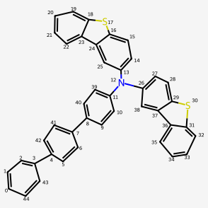 c1ccc(-c2ccc(-c3ccc(N(c4ccc5sc6ccccc6c5c4)c4ccc5sc6ccccc6c5c4)cc3)cc2)cc1